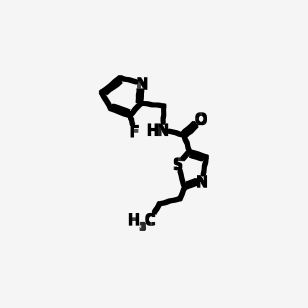 CCCc1ncc(C(=O)NCc2ncccc2F)s1